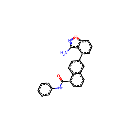 Nc1noc2cccc(-c3ccc4c(C(=O)Nc5ccccc5)cccc4c3)c12